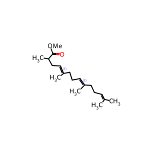 COC(=O)C(C)C/C=C(\C)CC/C=C(\C)CCC=C(C)C